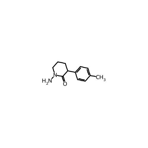 Cc1ccc(C2CCCN(N)C2=O)cc1